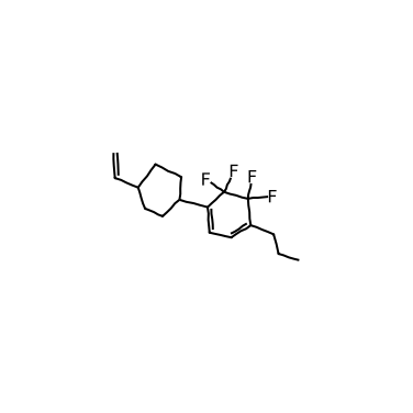 C=CC1CCC(C2=CC=C(CCC)C(F)(F)C2(F)F)CC1